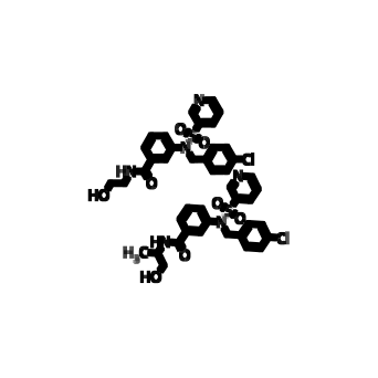 CC(CO)NC(=O)c1cccc(N(Cc2ccc(Cl)cc2)S(=O)(=O)c2cccnc2)c1.O=C(NCCO)c1cccc(N(Cc2ccc(Cl)cc2)S(=O)(=O)c2cccnc2)c1